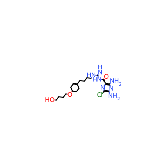 N=C(NCCCCC1CCC(OCCCCO)CC1)NC(=O)c1nc(Cl)c(N)nc1N